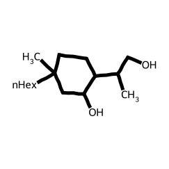 CCCCCCC1(C)CCC(C(C)CO)C(O)C1